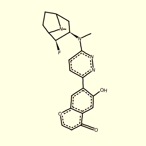 CN1C2CCC1[C@H](F)[C@H](N(C)c1ccc(-c3cc4occc(=O)c4cc3O)nn1)C2